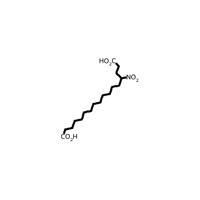 O=C(O)CCCCCCCCCCCCC(CCC(=O)O)[N+](=O)[O-]